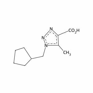 Cc1c(C(=O)O)nnn1CC1CCCC1